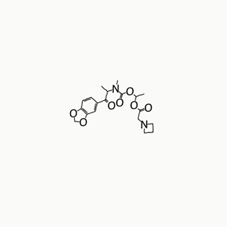 CC(OC(=O)CN1CCC1)OC(=O)N(C)C(C)C(=O)c1ccc2c(c1)OCO2